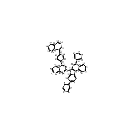 c1ccc(-c2ccc3c4c5ccccc5c(-c5ccccc5)cc4n(-c4nc(-c5ccc(-c6cccc7ccccc67)cc5)c5ccccc5n4)c3c2)cc1